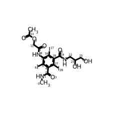 CNC(=O)c1c(I)c(NC(=O)COC(C)=O)c(I)c(C(=O)NCC(O)CO)c1I